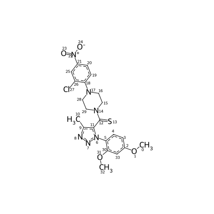 COc1ccc(-n2nnc(C)c2C(=S)N2CCN(c3ccc([N+](=O)[O-])cc3Cl)CC2)c(OC)c1